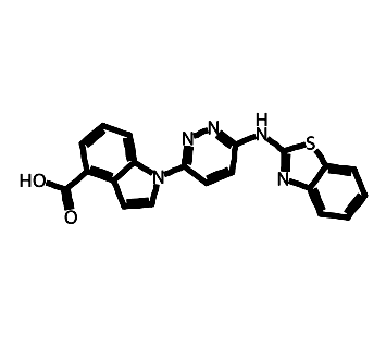 O=C(O)c1cccc2c1ccn2-c1ccc(Nc2nc3ccccc3s2)nn1